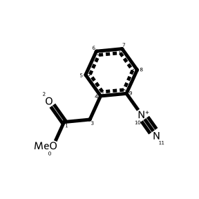 COC(=O)Cc1ccccc1[N+]#N